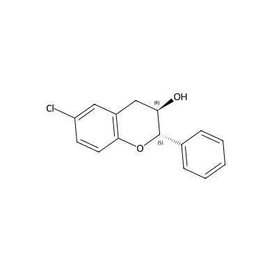 O[C@@H]1Cc2cc(Cl)ccc2O[C@H]1c1ccccc1